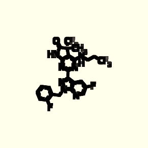 C[C@]1(C(F)(F)F)C(=O)Nc2nc(-c3nn(Cc4ccccc4F)c4ncc(F)cc34)nc(NCCC(F)(F)F)c21